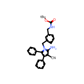 CC(C)(C)OC(=O)NCc1cccc(Cn2c(N)c(C#N)c(-c3ccccc3)c2-c2ccccc2)c1